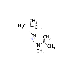 C=C(C)N(C)/C=N/CC(C)(C)C